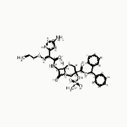 C=CCON=C(C(=O)NC1C(=O)N2CC(OS(C)(=O)=O)(C(=O)OC(c3ccccc3)c3ccccc3)CS[C@H]12)c1nsc(N)n1